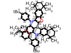 CC(C)(C)c1ccc(N2c3cc(C(C)(C)C)cc4c3B(c3cc5c(cc3N4c3ccc(C(C)(C)C)cc3-c3ccc([Si](C)(C)C)cc3)C(C)(C)CCC5(C)C)c3oc4cc5c(cc4c32)C(C)(C)CCC5(C)C)cc1